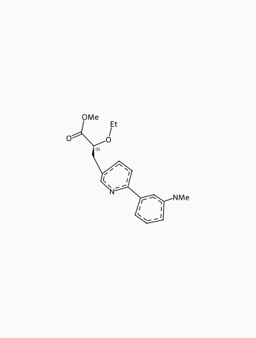 CCO[C@@H](Cc1ccc(-c2cccc(NC)c2)nc1)C(=O)OC